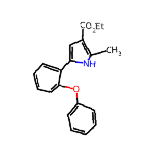 CCOC(=O)c1cc(-c2ccccc2Oc2ccccc2)[nH]c1C